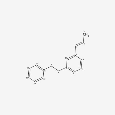 C/C=C/c1cccc(CCc2ccccc2)c1